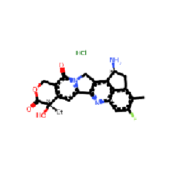 CC[C@@]1(O)C(=O)OCc2c1cc1n(c2=O)Cc2c-1nc1cc(F)c(C)c3c1c2[C@@H](N)C3.Cl